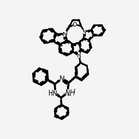 C1=CC(C2=NC(c3ccccc3)NC(c3ccccc3)N2)=CC(n2c3ccc4c5ccccc5n5c4c3c3c2ccc2c4ccccc4n(c23)C2CCC5O2)C1